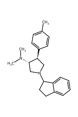 Cc1ccc([C@H]2CN(C3CCc4ccccc43)C[C@@H]2N(C)C)cc1